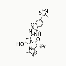 Cc1noc([C@H](C(=O)N2C[C@H](O)C[C@H]2C2=NC(=O)[C@](C)(c3ccc(-c4scnc4C)cc3)N2)C(C)C)n1